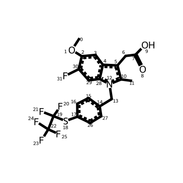 COc1cc2c(CC(=O)O)c(C)n(Cc3ccc(SC(F)(F)C(F)(F)F)cc3)c2cc1F